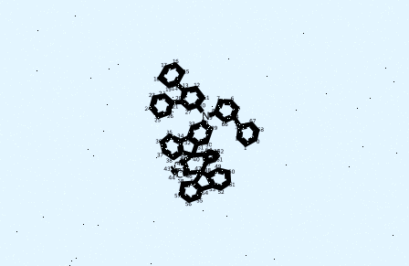 c1ccc(-c2cccc(N(c3ccc(-c4ccccc4)c(-c4ccccc4)c3)c3ccc4c(c3)-c3ccccc3C43c4ccccc4C4(c5ccccc5-c5ccccc54)c4ccccc43)c2)cc1